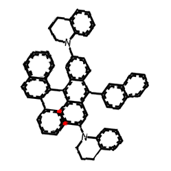 c1ccc(-c2ccc3ccccc3c2-c2c3ccc(N4CCCc5ccccc54)cc3c(-c3ccc4ccccc4c3)c3ccc(N4CCCc5ccccc54)cc23)cc1